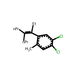 CCCC(CCC)=C(CC)c1cc(Cl)c(Cl)cc1C